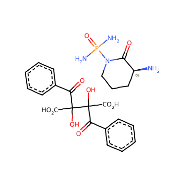 N[C@H]1CCCN(P(N)(N)=O)C1=O.O=C(O)C(O)(C(=O)c1ccccc1)C(O)(C(=O)O)C(=O)c1ccccc1